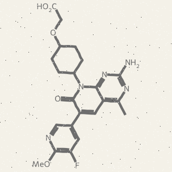 COc1ncc(-c2cc3c(C)nc(N)nc3n(C3CCC(OCC(=O)O)CC3)c2=O)cc1F